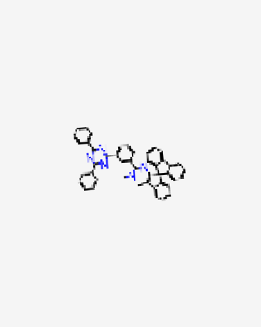 C=N/C(=N\C1=C(C)c2ccccc2C12c1ccccc1-c1ccccc12)c1cccc(-c2nc(-c3ccccc3)nc(-c3ccccc3)n2)c1